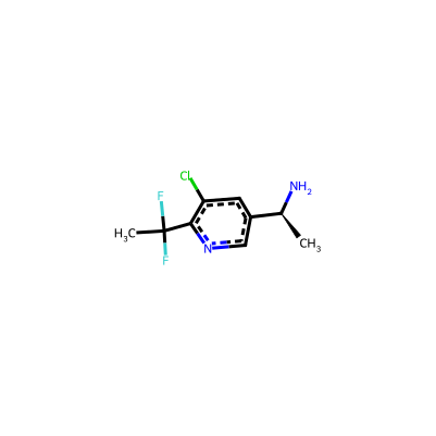 C[C@H](N)c1cnc(C(C)(F)F)c(Cl)c1